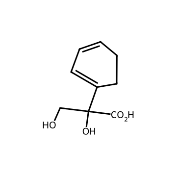 O=C(O)C(O)(CO)C1=CC=CCC1